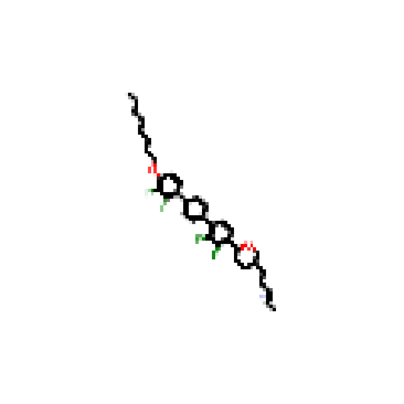 C/C=C/CCC1CCC(c2ccc(-c3ccc(-c4ccc(OCCCCCCCC)c(F)c4F)cc3)c(F)c2F)OC1